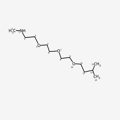 CNCCOCCOCCOCCC(C)C